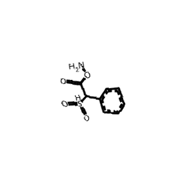 NOC(=O)C(c1ccccc1)[SH](=O)=O